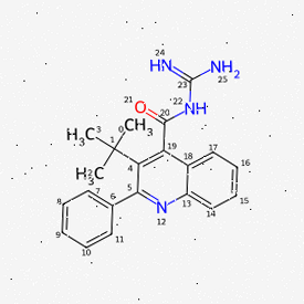 CC(C)(C)c1c(-c2ccccc2)nc2ccccc2c1C(=O)NC(=N)N